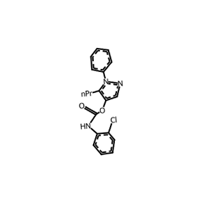 CCCc1c(OC(=O)Nc2ccccc2Cl)cnn1-c1ccccc1